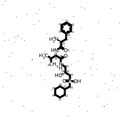 CC(C)[C@H](NC(=O)[C@@H](N)Cc1ccccc1)C(=O)NC[C@@H](O)CP(=O)(O)CC1CCCCC1